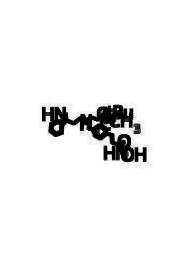 CC(C)(C)[Si](C)(C)OCCN(CCc1c[nH]c2ccccc12)Cc1ccc(C=CC(=O)NO)cc1